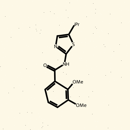 COc1cccc(C(=O)Nc2ncc(C(C)C)s2)c1OC